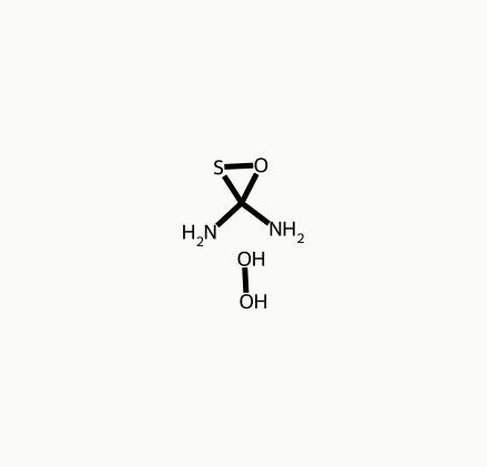 NC1(N)OS1.OO